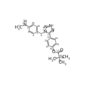 CNc1ccc(Cn2nnnc2-c2ccc(OC(=O)C(C)(C)C)cc2)cc1